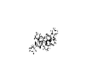 c1ccc(-c2nc(-c3ccccc3)nc(-c3cccc(-c4ccccc4)c3-n3c4ccccc4c4cc5c(cc43)sc3ccccc35)n2)cc1